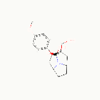 COc1ccc(C2=C(CO)CC3CCC(C2)N3C(=O)O)cc1